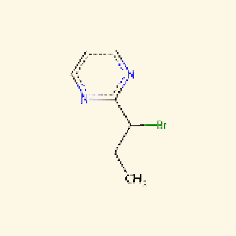 CCC(Br)c1ncccn1